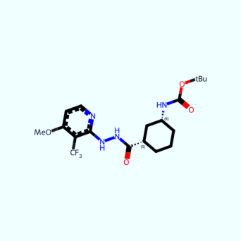 COc1ccnc(NNC(=O)[C@H]2CCC[C@@H](NC(=O)OC(C)(C)C)C2)c1C(F)(F)F